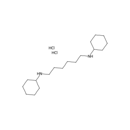 C(CCCNC1CCCCC1)CCNC1CCCCC1.Cl.Cl